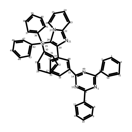 c1ccc(-c2nc(-c3ccccc3)nc(-c3cccc(-c4nc5ccccn5c4[Si](c4ccccc4)(c4ccccc4)c4ccccc4)c3)n2)cc1